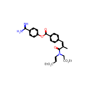 CCOC(=O)C=CN(CC(=O)OCC)C(=O)C(C)=Cc1ccc(C(=O)Oc2ccc(C(=N)N)cc2)cc1